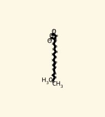 CC(C)CCCCCC=CCCCCCCCCC1CC(=O)OC1=O